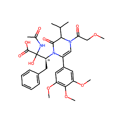 COCC(=O)N1C=C(c2cc(OC)c(OC)c(OC)c2)N([C@@H](Cc2ccccc2)C(O)(NC(C)=O)C(=O)O)C(=O)C1C(C)C